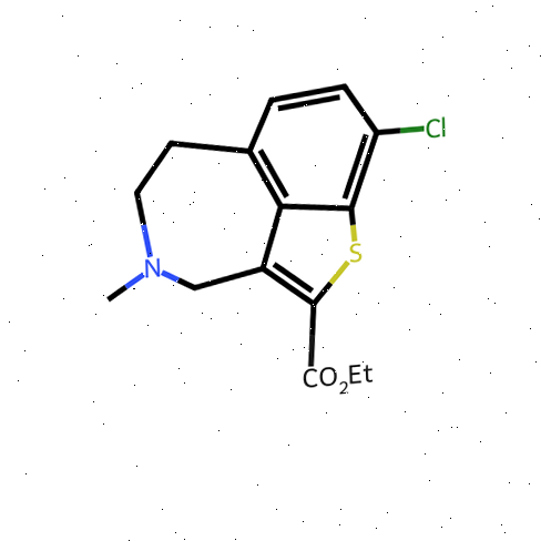 CCOC(=O)c1sc2c(Cl)ccc3c2c1CN(C)CC3